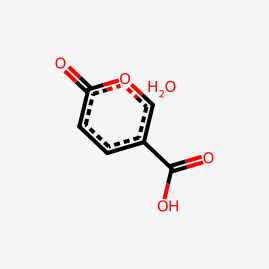 O.O=C(O)c1ccc(=O)oc1